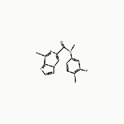 Cc1nc(C(=O)N(C)c2ccc(F)c(F)c2)cn2ccnc12